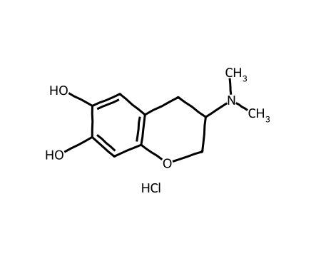 CN(C)C1COc2cc(O)c(O)cc2C1.Cl